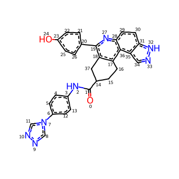 O=C(Nc1ccc(-n2cnnc2)cc1)C1CCc2c(c(-c3ccc(O)cc3)nc3ccc4[nH]ncc4c23)C1